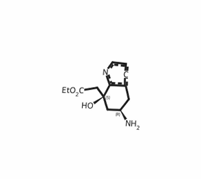 CCOC(=O)C[C@@]1(O)C[C@H](N)Cc2cccnc21